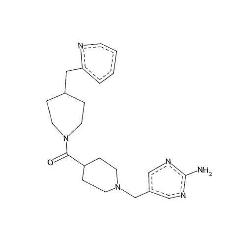 Nc1ncc(CN2CCC(C(=O)N3CCC(Cc4ccccn4)CC3)CC2)cn1